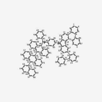 c1ccc(-c2ccccc2-c2ccc3c(c2)c2cc(-c4ccccc4-c4ccccc4)ccc2n3-c2ccc(N(c3ccccc3)c3c4ccccc4c(-c4c5ccccc5c(-c5cccc6ccccc56)c5ccccc45)c4ccccc34)cc2)cc1